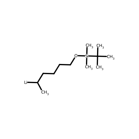 [Li][CH](C)CCCCO[Si](C)(C)C(C)(C)C